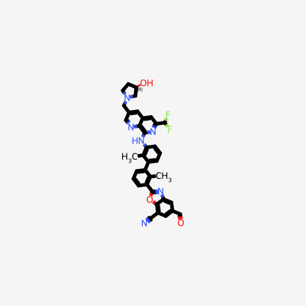 Cc1c(Nc2nc(C(F)F)cc3cc(CN4CC[C@@H](O)C4)cnc23)cccc1-c1cccc(-c2nc3cc(C=O)cc(C#N)c3o2)c1C